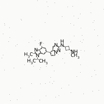 CN[C@H]1C[C@@H](Nc2ncc3c(-c4cc(F)c5nc(C)n(C(C)C)c5c4)ccn3n2)C1